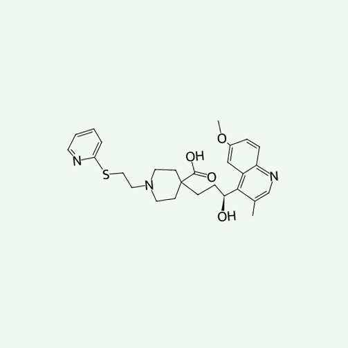 COc1ccc2ncc(C)c([C@@H](O)CCC3(C(=O)O)CCN(CCSc4ccccn4)CC3)c2c1